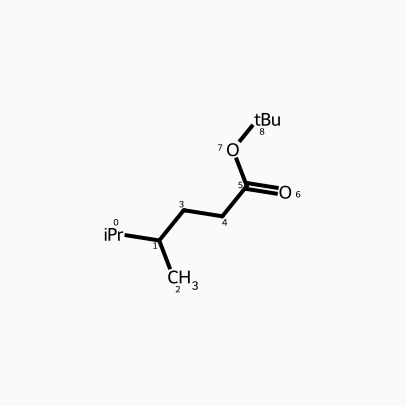 CC(C)C(C)CCC(=O)OC(C)(C)C